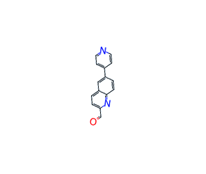 O=Cc1ccc2cc(-c3ccncc3)ccc2n1